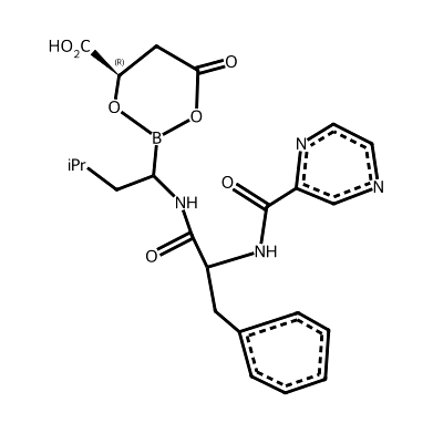 CC(C)CC(NC(=O)C(Cc1ccccc1)NC(=O)c1cnccn1)B1OC(=O)C[C@H](C(=O)O)O1